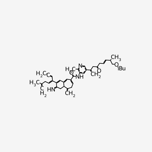 C=C=C/C(=C\CC(=C)C)C1=CC2=CC(C(=O)Nc3cc(C(=C)CC(=O)C/C=C/C(C)COC(C)CC)cnc3C)=CCC(=C)C2CC1=N